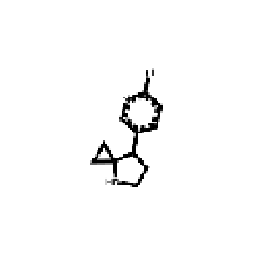 Clc1ccc(C2CCNC23CC3)cn1